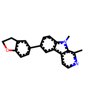 Cc1nccc2c3cc(-c4ccc5c(c4)CCO5)ccc3n(C)c12